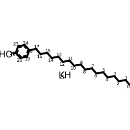 CCCCCCCCCCCCCCCCCCc1ccc(O)cc1.[KH]